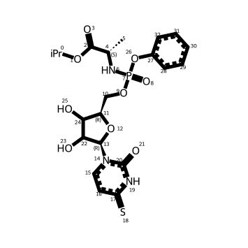 CC(C)OC(=O)[C@H](C)NP(=O)(OC[C@H]1O[C@@H](n2ccc(=S)[nH]c2=O)C(O)C1O)Oc1ccccc1